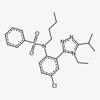 CCCCN(c1ccc(Cl)cc1-c1nnc(C(C)C)n1CC)S(=O)(=O)c1ccccc1